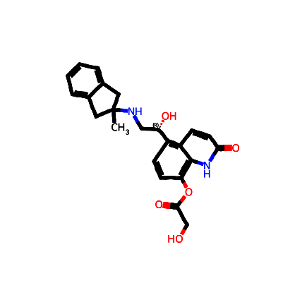 CC1(NC[C@H](O)c2ccc(OC(=O)CO)c3[nH]c(=O)ccc23)Cc2ccccc2C1